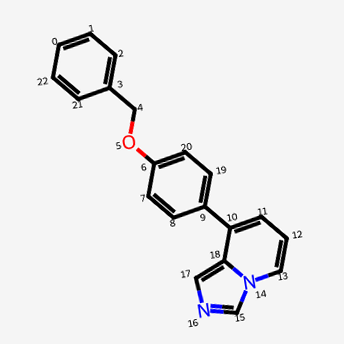 c1ccc(COc2ccc(-c3cccn4cncc34)cc2)cc1